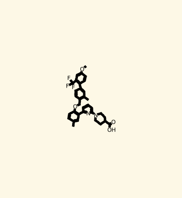 COc1ccc(-c2ccc(COc3ccc(C)cc3-c3cccc(N4CCC(C(=O)O)CC4)n3)c(C)c2)c(C(F)(F)F)c1